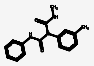 CNC(=O)N(C(=O)Nc1ccccc1)c1cccc(C)c1